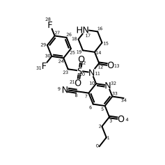 CCCC(=O)c1cc(C#N)c(N(C(=O)C2CCNCC2)S(=O)(=O)Cc2ccc(F)cc2F)nc1C